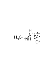 CNC.[C+4].[O-2].[O-2]